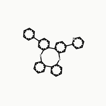 c1ccc(-c2ccc3c(c2)Sc2ccccc2-c2ccccc2Sc2cc(-c4ccccn4)ccc2-3)cc1